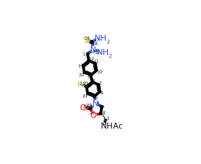 CC(=O)NC[C@H]1CN(c2ccc(-c3ccc(CN(N)C(N)=S)cc3)c(F)c2)C(=O)O1